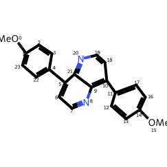 COc1ccc(-c2ccnc3c(-c4ccc(OC)cc4)ccnc23)cc1